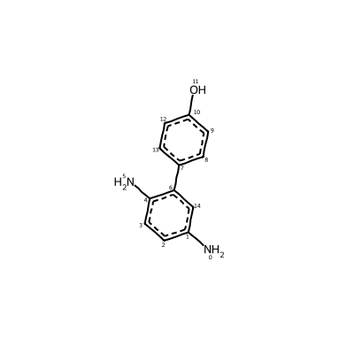 Nc1ccc(N)c(-c2ccc(O)cc2)c1